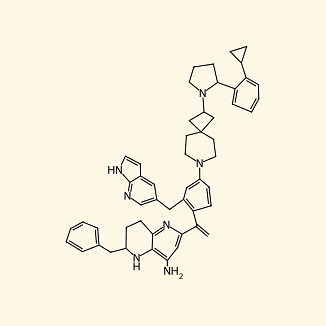 C=C(c1cc(N)c2c(n1)CCC(Cc1ccccc1)N2)c1ccc(N2CCC3(CC2)CC(N2CCCC2c2ccccc2C2CC2)C3)cc1Cc1cnc2[nH]ccc2c1